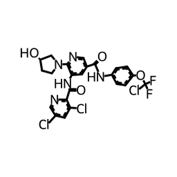 O=C(Nc1ccc(OC(F)(F)Cl)cc1)c1cnc(N2CC[C@@H](O)C2)c(NC(=O)c2ncc(Cl)cc2Cl)c1